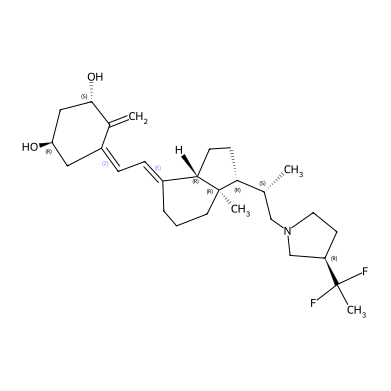 C=C1/C(=C\C=C2/CCC[C@]3(C)[C@@H]([C@H](C)CN4CC[C@@H](C(C)(F)F)C4)CC[C@@H]23)C[C@@H](O)C[C@@H]1O